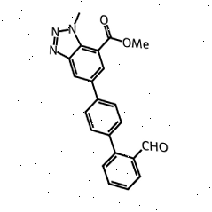 COC(=O)c1cc(-c2ccc(-c3ccccc3C=O)cc2)cc2nnn(C)c12